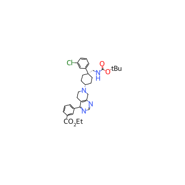 CCOC(=O)c1cccc(-c2ncnc3c2CCN([C@H]2CC[C@](CNC(=O)OC(C)(C)C)(c4cccc(Cl)c4)CC2)C3)c1